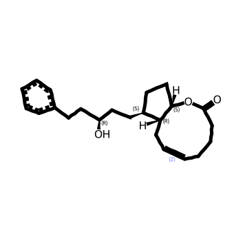 O=C1CCC/C=C\C[C@@H]2[C@@H](CC[C@@H](O)CCc3ccccc3)CC[C@@H]2O1